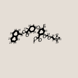 COC(=O)c1cc(O[C@H]2CC[C@@](C)(C(=O)OCc3cccc4ccccc34)CC2)c(F)cc1OCOCC[Si](C)(C)C